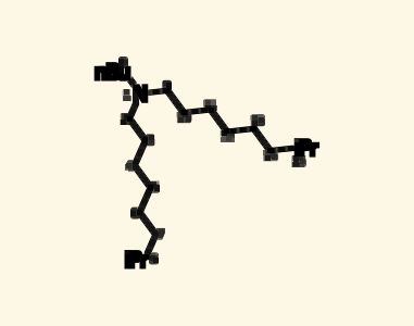 CCCCN(CCCCCCC(C)C)CCCCCCC(C)C